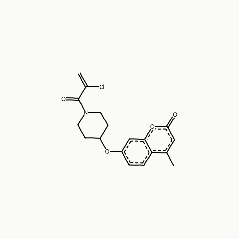 C=C(Cl)C(=O)N1CCC(Oc2ccc3c(C)cc(=O)oc3c2)CC1